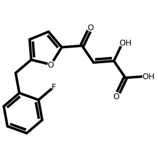 O=C(O)C(O)=CC(=O)c1ccc(Cc2ccccc2F)o1